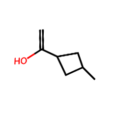 C=C(O)C1CC(C)C1